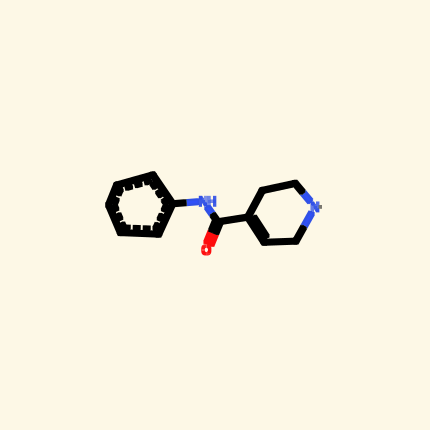 O=C(Nc1ccccc1)C1=CC[N]CC1